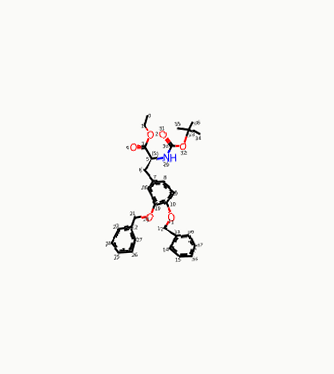 CCOC(=O)[C@H](Cc1ccc(OCc2ccccc2)c(OCc2ccccc2)c1)NC(=O)OC(C)(C)C